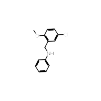 COc1ccc(Cl)cc1CNc1[c]cccc1